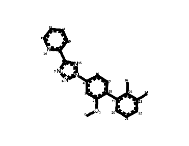 COc1cc(-n2nnc(-c3ccccn3)n2)ccc1-c1cccc(C)c1C